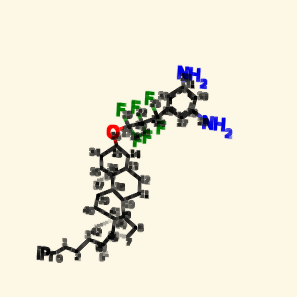 CC(C)CCC[C@@H](C)[C@H]1CCC2C3CCC4CC(OC(F)(F)C(F)(F)C(F)(F)c5cc(N)cc(N)c5)CC[C@]4(C)C3CC[C@@]21C